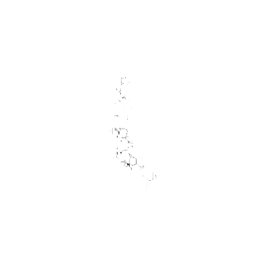 O=C(NC12CC(C1)C2)O[C@@H]1CO[C@H](c2cc(Nc3nccn4nc(OCC(F)F)cc34)n[nH]2)[C@@H]1F